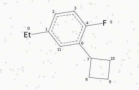 CCc1ccc(F)c(C2CCC2)c1